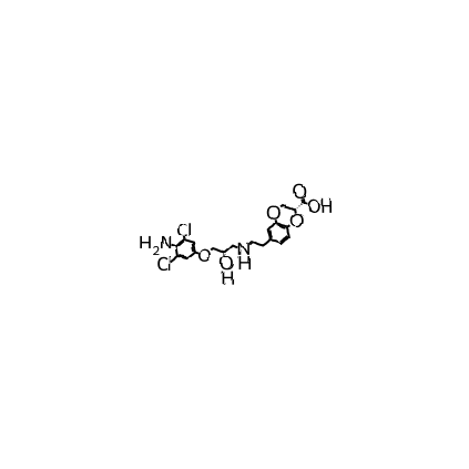 Nc1c(Cl)cc(OC[C@@H](O)CNCCc2ccc3c(c2)OC[C@H](C(=O)O)O3)cc1Cl